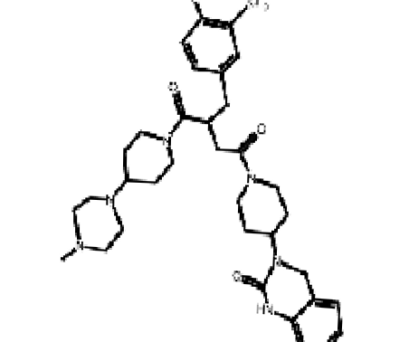 CN1CCN(C2CCN(C(=O)C(CC(=O)N3CCC(N4Cc5ccccc5NC4=O)CC3)Cc3ccc(F)c(C(F)(F)F)c3)CC2)CC1